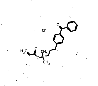 C=CC(=O)O[N+](C)(C)CCCc1ccc(C(=O)c2ccccc2)cc1.[Cl-]